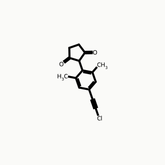 Cc1cc(C#CCl)cc(C)c1C1C(=O)CCC1=O